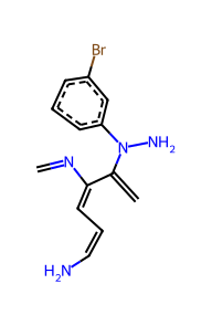 C=N/C(=C/C=C\N)C(=C)N(N)c1cccc(Br)c1